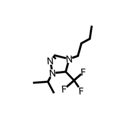 CCCCN1C=NN(C(C)C)C1C(F)(F)F